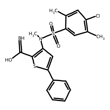 B=C(O)c1sc(-c2ccccc2)cc1N(C)S(=O)(=O)c1cc(C)c(Cl)cc1C